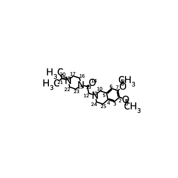 COc1cc2c(cc1OC)CN(CC(=O)N1CCN(C(C)C)CC1)CC2